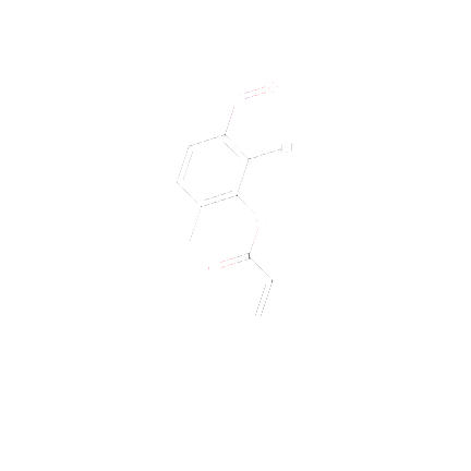 C=CC(=O)Oc1c(C)ccc(P=O)c1CC